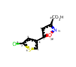 O=C(O)c1cc(-c2csc(Cl)c2)on1